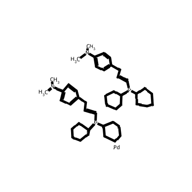 CN(C)c1ccc(CC=CP(C2CCCCC2)C2CCCCC2)cc1.CN(C)c1ccc(CC=CP(C2CCCCC2)C2CCCCC2)cc1.[Pd]